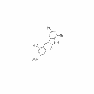 COc1ccc(C=C2C(=O)Nc3c(Br)cc(Br)cc32)c(O)c1